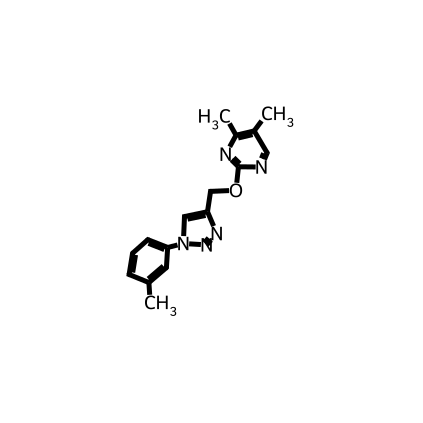 Cc1cccc(-n2cc(COc3ncc(C)c(C)n3)nn2)c1